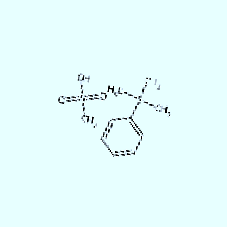 CS(=O)(=O)O.CS(C)(C)c1ccccc1